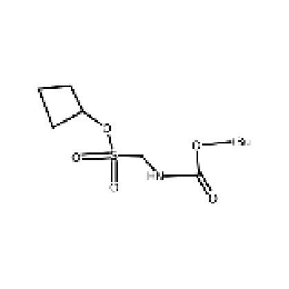 CC(C)(C)OC(=O)NCS(=O)(=O)OC1CCC1